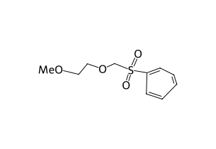 COCCOCS(=O)(=O)c1ccccc1